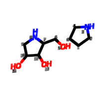 C1CCNC1.OCC1NCC(O)C1O